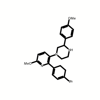 COc1ccc(C2CN(c3ccc(OC)nc3C3=CC=C(C(C)C)CC3)CCN2)cc1